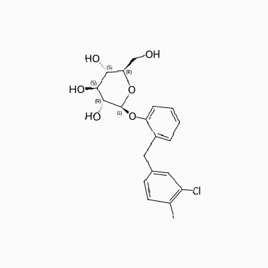 Cc1ccc(Cc2ccccc2O[C@@H]2O[C@H](CO)[C@@H](O)[C@H](O)[C@H]2O)cc1Cl